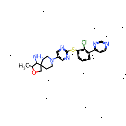 C[C@@H]1OCC2(CCN(c3cnc(Sc4cccc(-c5ccncn5)c4Cl)nc3)CC2)[C@@H]1N